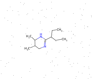 CCC(CC)C1=NCC(C)C(C)N1